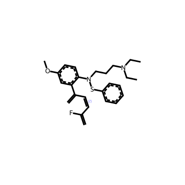 C=C(F)/C=C\C(=C)c1cc(OC)ccc1N(CCCN(CC)CC)Sc1ccccc1